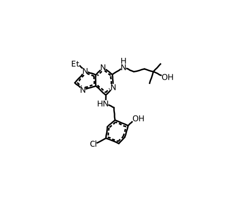 CCn1cnc2c(NCc3cc(Cl)ccc3O)nc(NCCC(C)(C)O)nc21